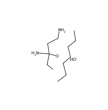 CCC(N)([O])CCN.CCCCCCC.Cl